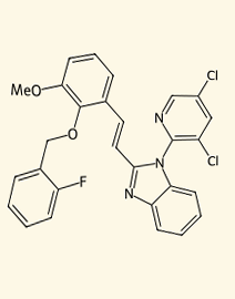 COc1cccc(C=Cc2nc3ccccc3n2-c2ncc(Cl)cc2Cl)c1OCc1ccccc1F